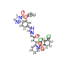 CC(C)(C)OC(=O)N1CCN=C1c1ccc(CCNCC(=O)CCC2CCCCN2S(=O)(=O)c2cccc(Cl)c2Cl)cc1